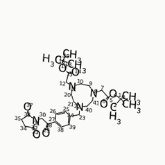 CC(C)(C)OC(=O)CN1CCN(CC(=O)OC(C)(C)C)CCN(Cc2ccc(C(=O)CN3C(=O)CCC3=O)cc2)CC1